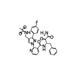 CS(=O)(=O)NCc1cn(-c2ncccc2C(=O)NC(Cc2ccccc2)C(=O)C(N)=O)nc1-c1ccc(F)cc1